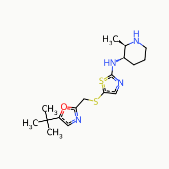 C[C@H]1NCCC[C@H]1Nc1ncc(SCc2ncc(C(C)(C)C)o2)s1